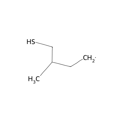 [CH2]CC(C)CS